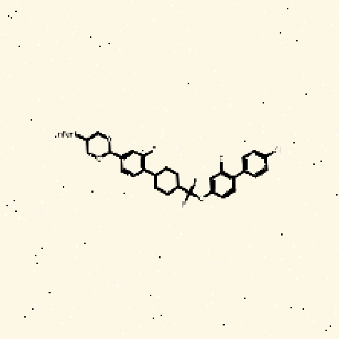 CCCCCC1COC(c2ccc(C3CCC(C(F)(F)Oc4ccc(-c5ccc(Cl)cc5)c(F)c4)CC3)c(F)c2)OC1